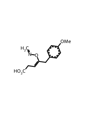 C=NO/C(=C\CC(=O)O)Cc1ccc(OC)cc1